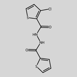 O=C(NNC(=O)c1sccc1Cl)c1cccs1